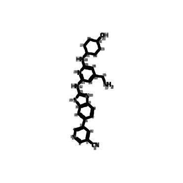 N#Cc1cncc(-c2ccc3nc(Nc4cc(CN)cc(NC5CCC(O)CC5)n4)sc3c2)c1